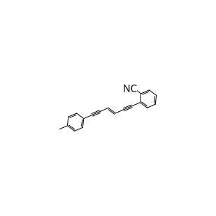 Cc1ccc(C#CC=CC#Cc2ccccc2C#N)cc1